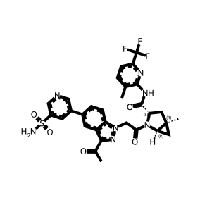 CC(=O)c1nn(CC(=O)N2[C@H](C(=O)Nc3nc(C(F)(F)F)ccc3C)C[C@@]3(C)C[C@@H]23)c2ccc(-c3cncc(S(N)(=O)=O)c3)cc12